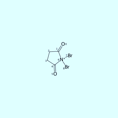 O=C1CCC(=O)[N+]1(Br)Br